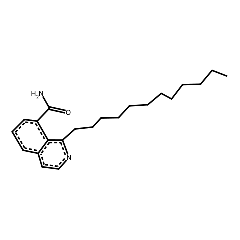 CCCCCCCCCCCCc1nccc2cccc(C(N)=O)c12